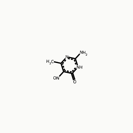 Cc1nc(N)[nH]c(=O)c1N=O